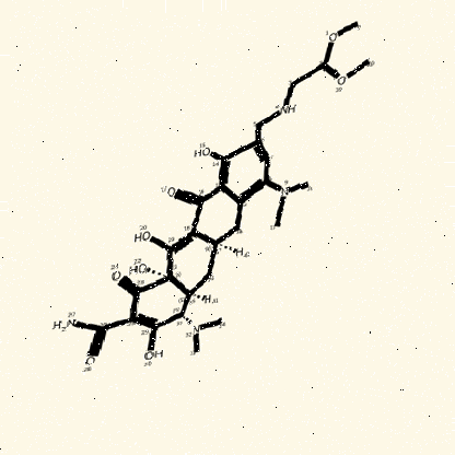 COC(CNCc1cc(N(C)C)c2c(c1O)C(=O)C1=C(O)[C@]3(O)C(=O)C(C(N)=O)=C(O)[C@@H](N(C)C)[C@@H]3C[C@@H]1C2)OC